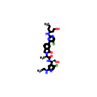 CCCC(CCO)Nc1ncc(Cl)c(-c2ccc3c(c2)C(=O)N([C@H](C)C(=O)N[C@H](CO)c2cc(NCC)ncc2Cl)C3)n1